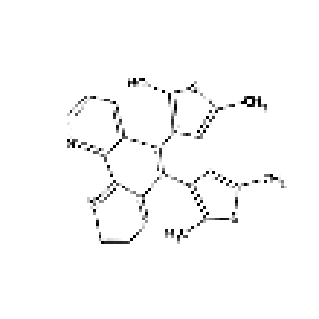 Cc1cc(-c2c(-c3cc(C)sc3O)c3cccnc3c3ncccc23)c(C)s1